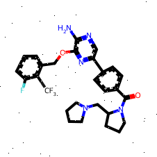 Nc1ncc(-c2ccc(C(=O)N3CCCC3CN3CCCC3)cc2)nc1OCc1cccc(F)c1C(F)(F)F